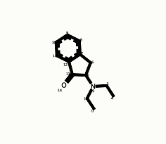 CCN(CC)C1Cc2ccccc2C1=O